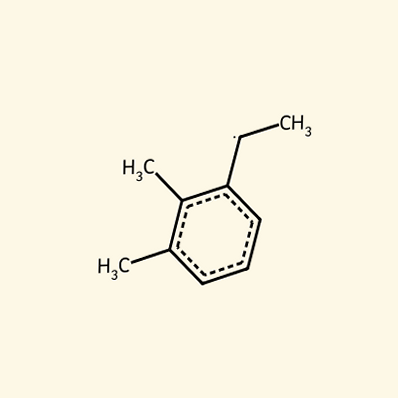 C[CH]c1cccc(C)c1C